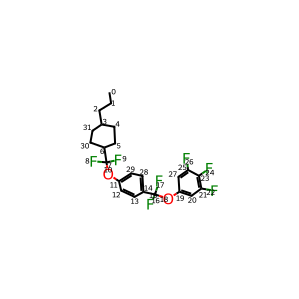 CCCC1CCC(C(F)(F)Oc2ccc(C(F)(F)Oc3cc(F)c(F)c(F)c3)cc2)CC1